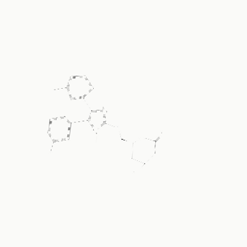 Cc1cccc(-c2nc(SC[C@@H]3C[C@](C)(O)CC(=O)O3)[nH]c2-c2cccc(C)c2)c1